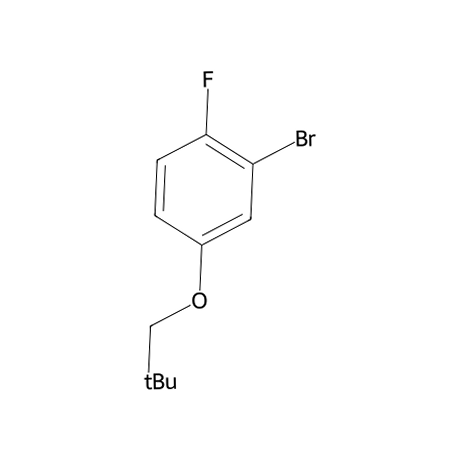 CC(C)(C)COc1ccc(F)c(Br)c1